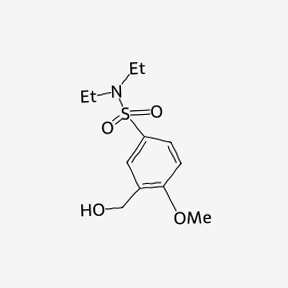 CCN(CC)S(=O)(=O)c1ccc(OC)c(CO)c1